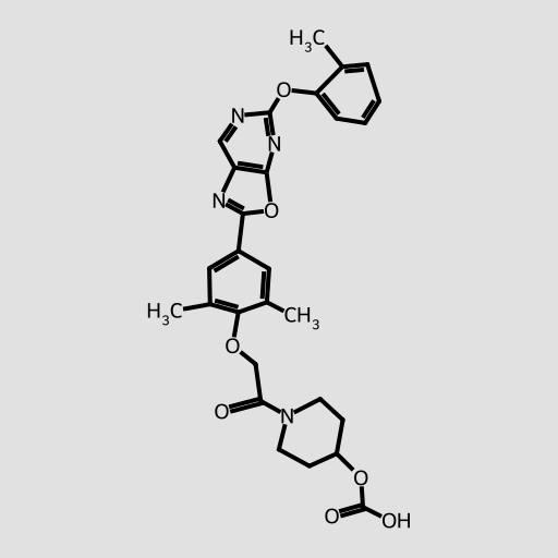 Cc1ccccc1Oc1ncc2nc(-c3cc(C)c(OCC(=O)N4CCC(OC(=O)O)CC4)c(C)c3)oc2n1